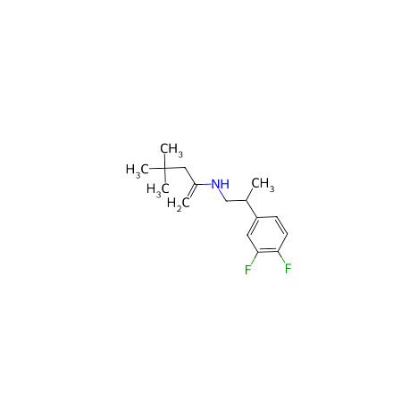 C=C(CC(C)(C)C)NCC(C)c1ccc(F)c(F)c1